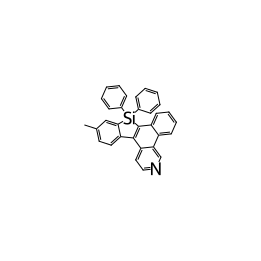 Cc1ccc2c(c1)[Si](c1ccccc1)(c1ccccc1)c1c-2c2ccncc2c2ccccc12